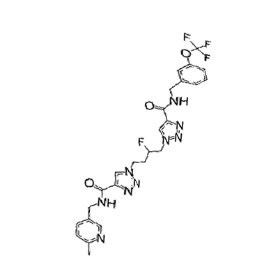 Cc1ccc(CNC(=O)c2cn(CCC(F)Cn3cc(C(=O)NCc4cccc(OC(F)(F)F)c4)nn3)nn2)cn1